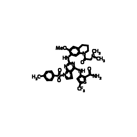 COc1cc2c(cc1Nc1nc(Nc3cc(C(F)(F)F)sc3C(N)=O)c3ccn(S(=O)(=O)c4ccc(C)cc4)c3n1)N(C(=O)CN(C)C)CCC2